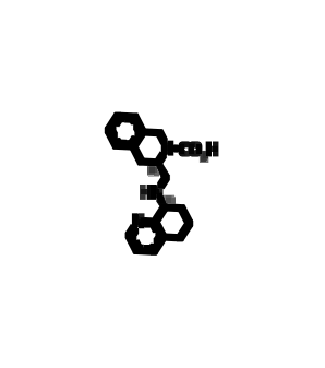 O=C(O)N1Cc2ccccc2C[C@@H]1CN[C@H]1CCCc2cccnc21